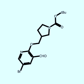 CC(C)(C)OC(=O)N1CCC(COc2ncc(Br)cc2C=O)C1